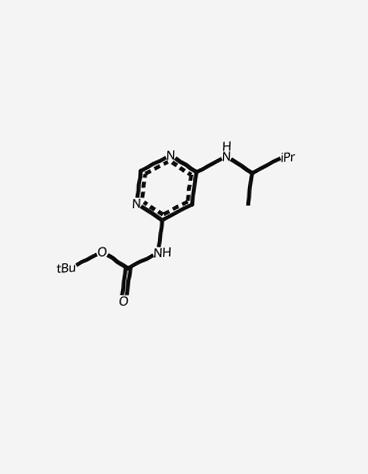 CC(C)C(C)Nc1cc(NC(=O)OC(C)(C)C)ncn1